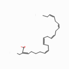 CC/C=C\C/C=C\C/C=C\C/C=C\C/C=C\CCC/C=C(/CC)C(=O)O